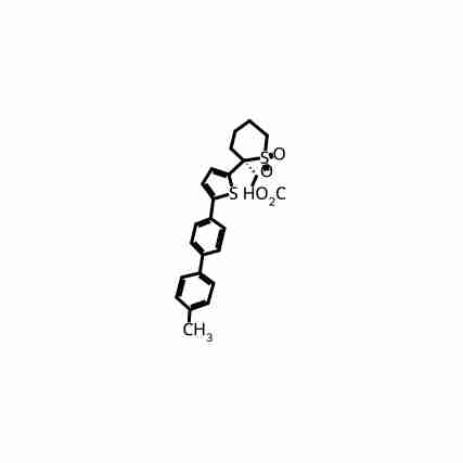 Cc1ccc(-c2ccc(-c3ccc([C@@]4(CC(=O)O)CCCCS4(=O)=O)s3)cc2)cc1